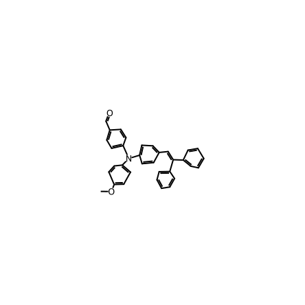 COc1ccc(N(c2ccc(C=O)cc2)c2ccc(C=C(c3ccccc3)c3ccccc3)cc2)cc1